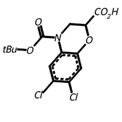 CC(C)(C)OC(=O)N1CC(C(=O)O)Oc2cc(Cl)c(Cl)cc21